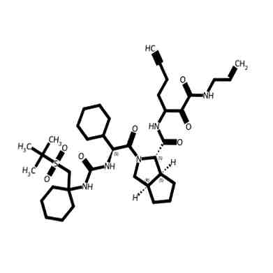 C#CCCC(NC(=O)[C@@H]1[C@H]2CCC[C@H]2CN1C(=O)[C@@H](NC(=O)NC1(CS(=O)(=O)C(C)(C)C)CCCCC1)C1CCCCC1)C(=O)C(=O)NCC=C